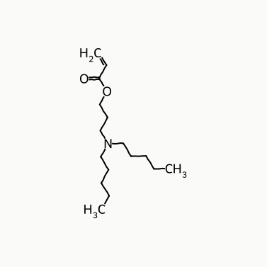 C=CC(=O)OCCCN(CCCCC)CCCCC